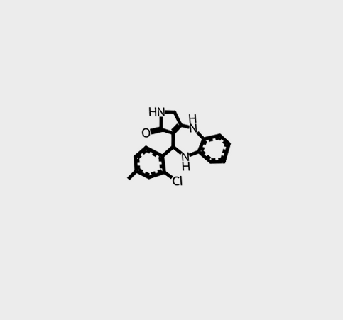 Cc1ccc(C2Nc3ccccc3NC3=C2C(=O)NC3)c(Cl)c1